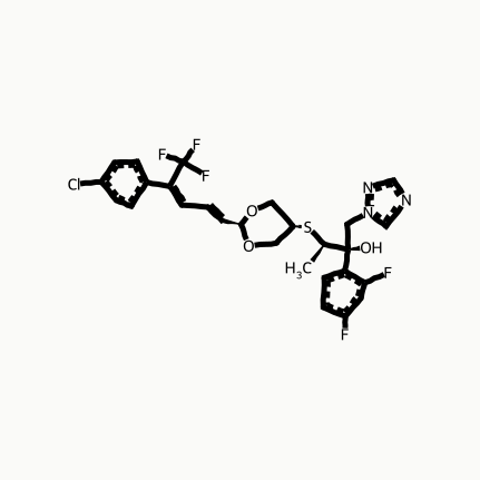 C[C@@H](S[C@H]1CO[C@H](/C=C/C=C(/c2ccc(Cl)cc2)C(F)(F)F)OC1)[C@](O)(Cn1cncn1)c1ccc(F)cc1F